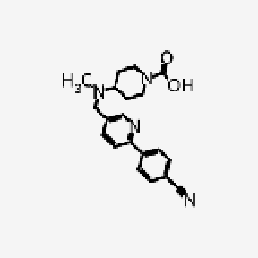 CN(Cc1ccc(-c2ccc(C#N)cc2)nc1)C1CCN(C(=O)O)CC1